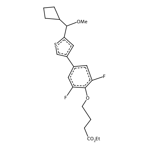 CCOC(=O)CCCOc1c(F)cc(-c2csc(C(OC)C3CCC3)c2)cc1F